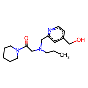 CCCN(CC(=O)N1CCCCC1)Cc1cc(CO)ccn1